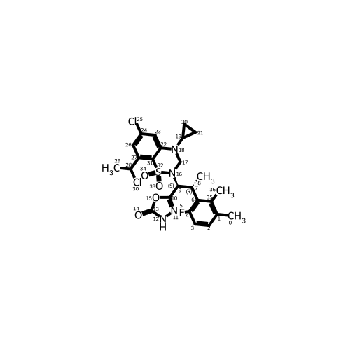 Cc1ccc(F)c([C@@H](C)[C@@H](c2n[nH]c(=O)o2)N2CN(C3CC3)c3cc(Cl)cc(C(C)Cl)c3S2(=O)=O)c1C